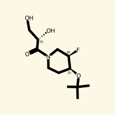 CC(C)(C)O[C@H]1CCN(C(=O)[C@@H](O)CO)C[C@H]1F